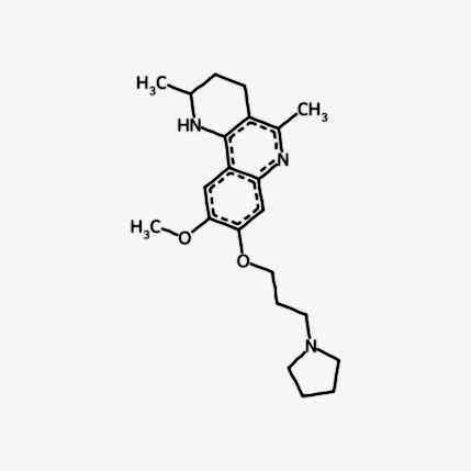 COc1cc2c3c(c(C)nc2cc1OCCCN1CCCC1)CCC(C)N3